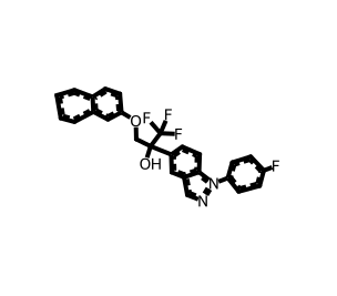 OC(COc1ccc2ccccc2c1)(c1ccc2c(cnn2-c2ccc(F)cc2)c1)C(F)(F)F